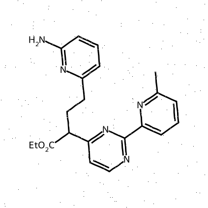 CCOC(=O)C(CCc1cccc(N)n1)c1ccnc(-c2cccc(C)n2)n1